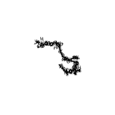 COC(=O)[C@H](CCC(C)(C)C)NC(=O)c1ccc(Oc2cccc(OC3CN(C(=O)NCCCOCCOCc4cn(CC(=O)N(CCCn5nccc5C(=O)N[C@H](C(=O)Nc5ccc(-c6c(C)nn(COCC[Si](C)(C)C)c6C)cc5)C(C5CC5)C5CC5)CCO[Si](C)(C)C(C)(C)C)nn4)C3)c2)nc1